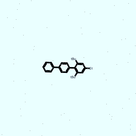 CCc1cc(C(C)(C)C)c(-c2ccc(-c3ccccc3)cc2)c(C(C)(C)C)c1